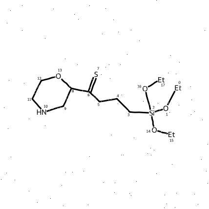 CCO[Si](CCCC(=S)C1CNCCO1)(OCC)OCC